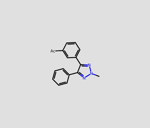 CC(=O)c1cccc(-c2nn(C)nc2-c2ccccc2)c1